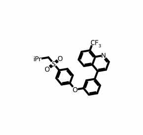 CC(C)CS(=O)(=O)c1ccc(Oc2cccc(-c3ccnc4c(C(F)(F)F)cccc34)c2)cc1